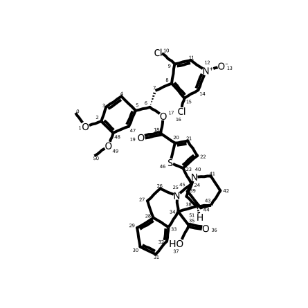 COc1ccc([C@H](Cc2c(Cl)c[n+]([O-])cc2Cl)OC(=O)c2ccc(CN3CCc4ccccc4C3(C(=O)O)[C@H]3CN4CCC3CC4)s2)cc1OC